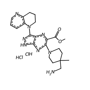 COC(=O)c1nc2c(N3CCCc4ncccc43)n[nH]c2nc1N1CCC(C)(CN)CC1.Cl.Cl